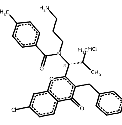 Cc1ccc(C(=O)N(CCCN)[C@@H](c2oc3cc(Cl)ccc3c(=O)c2Cc2ccccc2)C(C)C)cc1.Cl